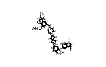 COc1cc(CN2CCN(C3CC4(C3)CN(c3ccc(C=O)c(Oc5cnc6[nH]cc(F)c6c5)c3)C4)CC2)cc2c1OCC2(C)C